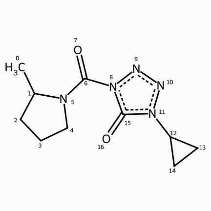 CC1CCCN1C(=O)n1nnn(C2CC2)c1=O